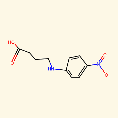 O=C(O)CCCNc1ccc([N+](=O)[O-])cc1